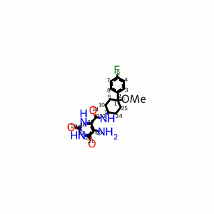 COC1(c2ccc(F)cc2)CCC(NC(=O)c2[nH]c(=O)[nH]c(=O)c2N)CC1